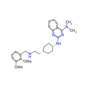 COc1cccc(CNCC[C@H]2CC[C@@H](Nc3nc(N(C)C)c4ccccc4n3)CC2)c1OC